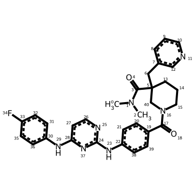 CN(C)C(=O)C1(Cc2cccnc2)CCCN(C(=O)c2ccc(Nc3nccc(Nc4ccc(F)cc4)n3)cc2)C1